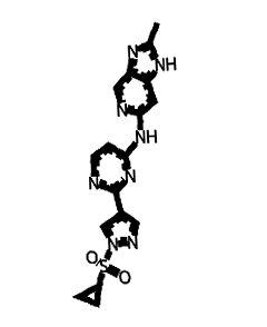 Cc1nc2cnc(Nc3ccnc(-c4cnn(S(=O)(=O)C5CC5)c4)n3)cc2[nH]1